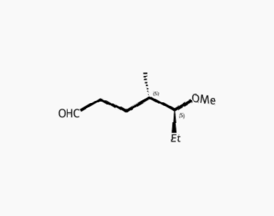 CC[C@H](OC)[C@@H](C)CCC=O